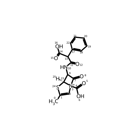 CC1=C[N+]2(C(=O)O)C(=O)C(NC(=O)C(C(=O)O)c3ccccc3)[C@@H]2S1